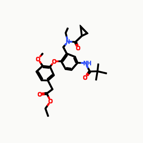 CCOC(=O)Cc1ccc(OC)c(Oc2ccc(NC(=O)C(C)(C)C)cc2CN(CC)C(=O)C2CC2)c1